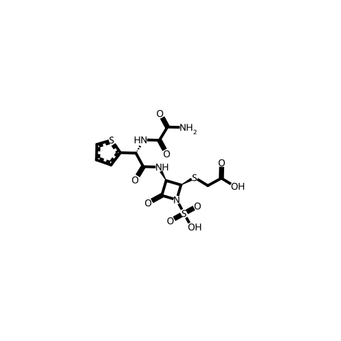 NC(=O)C(=O)N[C@H](C(=O)N[C@@H]1C(=O)N(S(=O)(=O)O)[C@@H]1SCC(=O)O)c1cccs1